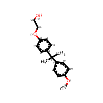 CCCOc1ccc(C(C)(C)c2ccc(OCCO)cc2)cc1